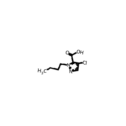 CCCCn1ncc(Cl)c1C(=O)O